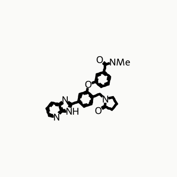 CNC(=O)c1cccc(Oc2cc(-c3nc4cccnc4[nH]3)ccc2CN2CCCC2=O)c1